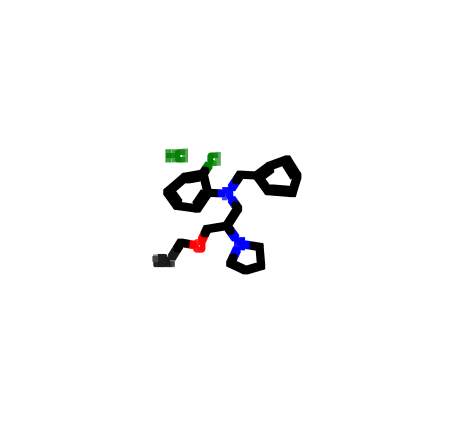 CC(C)(C)COCC(CN(Cc1ccccc1)c1ccccc1Cl)N1CCCC1.Cl